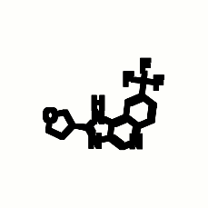 FC(F)(F)c1ccc2ncc3nc([C@H]4CCOC4)[nH]c3c2c1